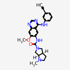 C#Cc1cccc(Nc2ncnc3cc(OC)c(NC(=O)N4C[C@H]5CCN(C)[C@H]5C4)cc23)c1